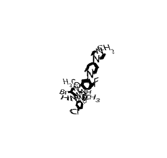 COc1cc(N2CCC(N3CCN(C)CC3)CC2)c(F)cc1Nc1ncc(Br)c(Nc2cc(Cl)ccc2NS(C)(=O)=O)n1